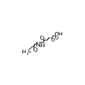 CCC(=O)CNCCC(=O)CCC(=O)CC(=O)O